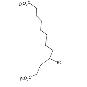 CCOC(=O)CCCCCCCC(CC)CCC(=O)OCC